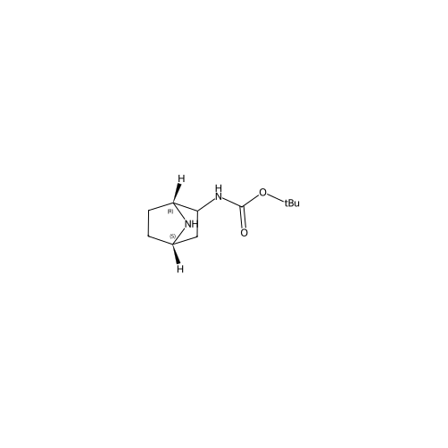 CC(C)(C)OC(=O)NC1C[C@@H]2CC[C@H]1N2